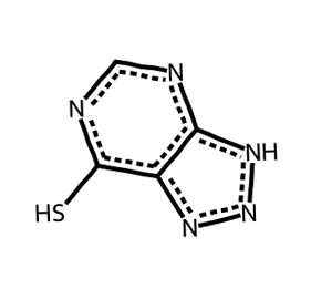 Sc1ncnc2[nH]nnc12